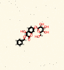 O=c1oc2cc(O[C@@H]3O[C@H](CO)[C@H](O)[C@H](O)[C@H]3O)ccc2c(O)c1OCc1ccccc1